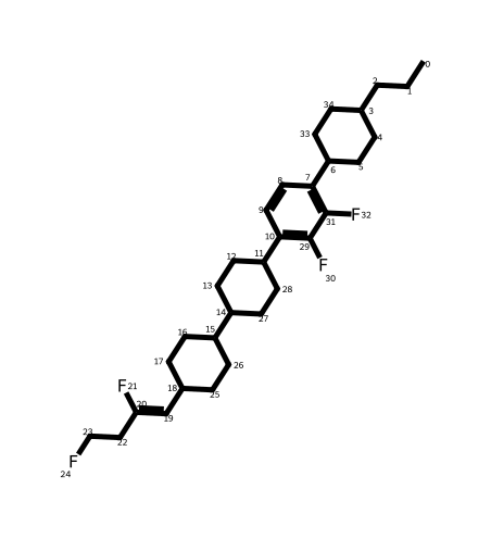 CCCC1CCC(c2ccc(C3CCC(C4CCC(/C=C(\F)CCF)CC4)CC3)c(F)c2F)CC1